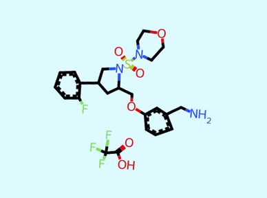 NCc1cccc(OCC2CC(c3ccccc3F)CN2S(=O)(=O)N2CCOCC2)c1.O=C(O)C(F)(F)F